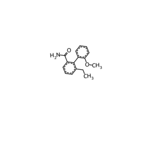 CCc1cccc(C(N)=O)c1-c1ccccc1OC